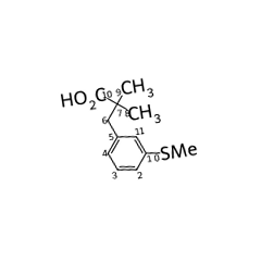 CSc1cccc(CC(C)(C)C(=O)O)c1